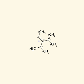 C=C(C)/C(=C\C)C(C)C